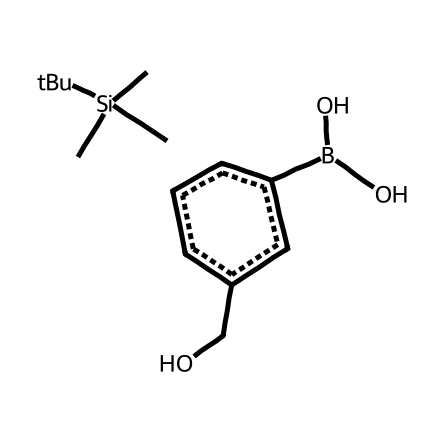 CC(C)(C)[Si](C)(C)C.OCc1cccc(B(O)O)c1